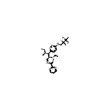 C=C(/N=C\C(=C(\c1ccc(OCC(F)(F)C(F)(F)F)nn1)C(C)CC)[S+]([O-])CC)c1ncccn1